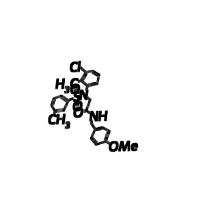 COc1ccc(CNC(=O)CN(c2cccc(Cl)c2C)S(=O)(=O)c2cccc(C)c2)cc1